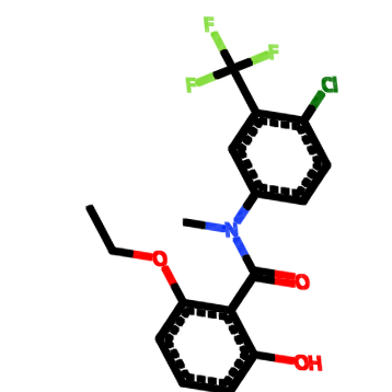 CCOc1cccc(O)c1C(=O)N(C)c1ccc(Cl)c(C(F)(F)F)c1